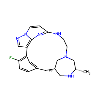 C[C@H]1CN2CCNc3ccn4ncc(c4n3)-c3cc(ccc3F)C[C@H](CN1)C2